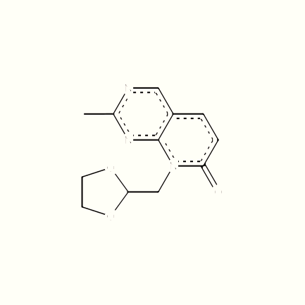 Cc1ncc2ccc(=O)n(CC3OCCO3)c2n1